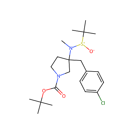 CN([S+]([O-])C(C)(C)C)C1(Cc2ccc(Cl)cc2)CCN(C(=O)OC(C)(C)C)C1